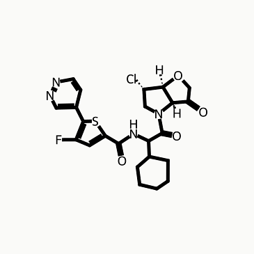 O=C(NC(C(=O)N1C[C@H](Cl)[C@H]2OCC(=O)[C@H]21)C1CCCCC1)c1cc(F)c(-c2ccnnc2)s1